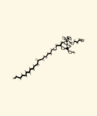 CCCCCCCCCCCCCCCCCCOCC(COP(=O)(Cl)OCCCBr)OC(=O)OC